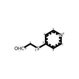 O=CCSc1ccncc1